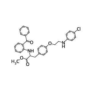 COC(=O)C(Cc1ccc(OCCNc2ccc(Cl)cc2)cc1)Nc1ccccc1C(=O)c1ccccc1